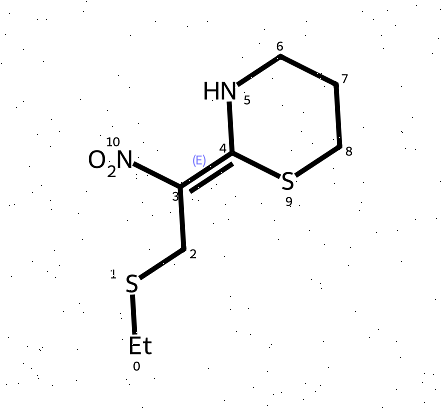 CCSC/C(=C1/NCCCS1)[N+](=O)[O-]